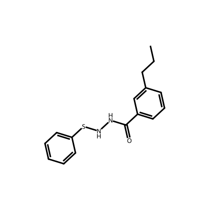 CCCc1cccc(C(=O)NNSc2ccccc2)c1